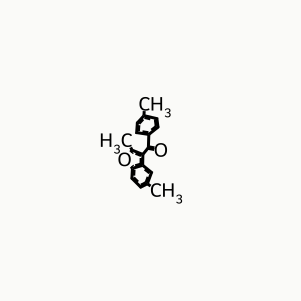 Cc1ccc(C(=O)c2c(C)oc3ccc(C)cc23)cc1